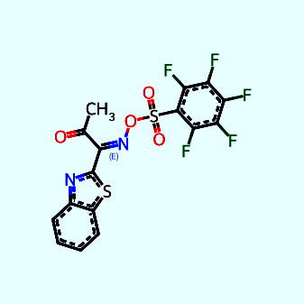 CC(=O)/C(=N\OS(=O)(=O)c1c(F)c(F)c(F)c(F)c1F)c1nc2ccccc2s1